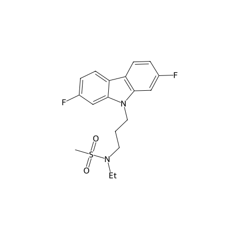 CCN(CCCn1c2cc(F)ccc2c2ccc(F)cc21)S(C)(=O)=O